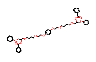 O=C(OC(COCCCCOCCOc1ccc(OCCOCCCCOCC(COc2ccccc2)OC(=O)c2ccccc2)cc1)COc1ccccc1)c1ccccc1